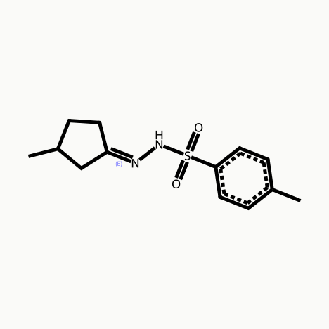 Cc1ccc(S(=O)(=O)N/N=C2\CCC(C)C2)cc1